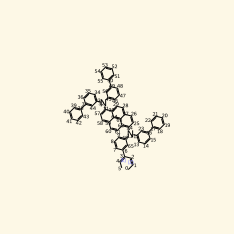 C/C=C\C(=C/C)c1cccc(N(c2cccc(-c3ccccc3)c2)c2ccc3ccc4c(N(c5cccc(-c6ccccc6)c5)c5cccc(-c6ccccc6)c5)ccc5ccc2c3c54)c1